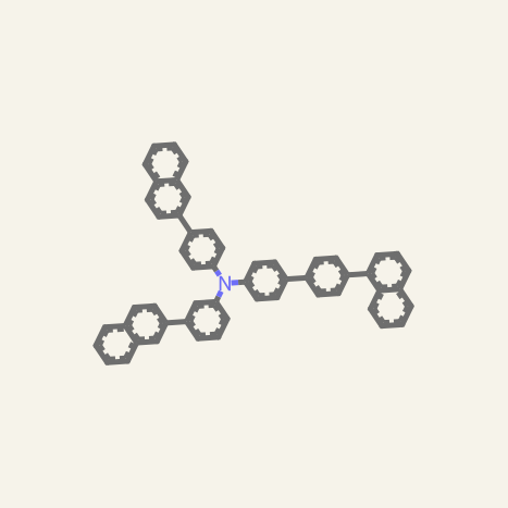 c1cc(-c2ccc3ccccc3c2)cc(N(c2ccc(-c3ccc(-c4cccc5ccccc45)cc3)cc2)c2ccc(-c3ccc4ccccc4c3)cc2)c1